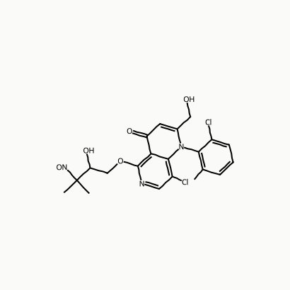 Cc1cccc(Cl)c1-n1c(CO)cc(=O)c2c(OCC(O)C(C)(C)N=O)ncc(Cl)c21